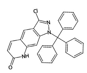 O=c1ccc2cc3c(Cl)nn(C(c4ccccc4)(c4ccccc4)c4ccccc4)c3cc2[nH]1